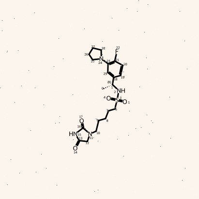 C[C@@H](NS(=O)(=O)CCCCCN1CC(=O)NC1=O)c1ccc(F)c(N2CCCC2)c1